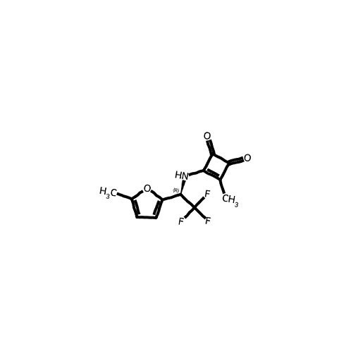 Cc1ccc([C@@H](Nc2c(C)c(=O)c2=O)C(F)(F)F)o1